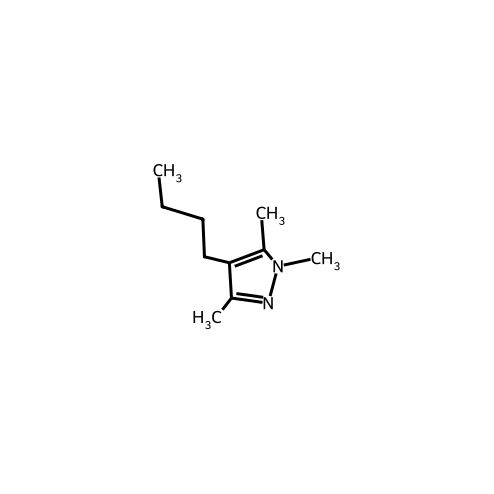 CCCCc1c(C)nn(C)c1C